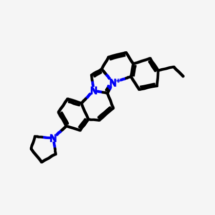 CCc1ccc2c(ccc3cn4c5ccc(N6CCCC6)cc5ccc4[n+]32)c1